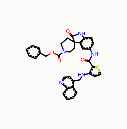 O=C(Nc1ccc2c(c1)C1(CCN(C(=O)OCc3ccccc3)CC1)C(=O)N2)c1sccc1NCc1ccnc2ccccc12